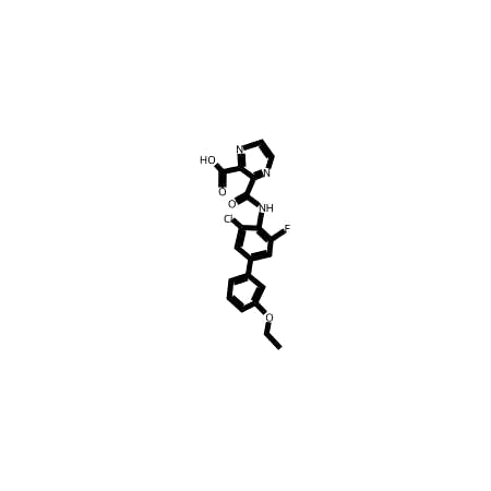 CCOc1cccc(-c2cc(F)c(NC(=O)c3nccnc3C(=O)O)c(Cl)c2)c1